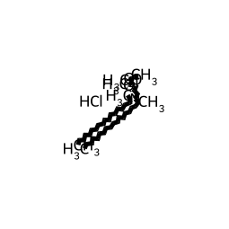 CCCCCCCCCCCCCCCCCC(C)N(CCC[Si](OC)(OC)OC)C(C)CCCCCCCCCCCCCCCCC.Cl